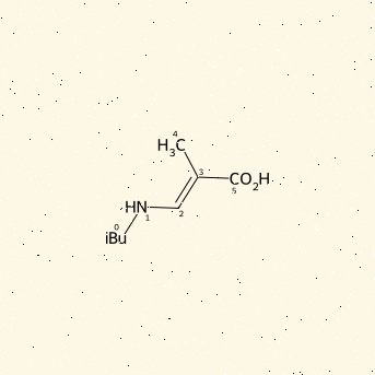 CCC(C)NC=C(C)C(=O)O